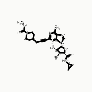 COC(=O)N1CCC(CC#Cc2nc(N)c3ncn([C@@H]4O[C@H](C(=O)NC5CC5)[C@@H](O)[C@@H]4O)c3n2)CC1